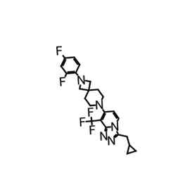 Fc1ccc(N2CC3(CCN(c4ccn5c(CC6CC6)nnc5c4C(F)(F)F)CC3)C2)c(F)c1